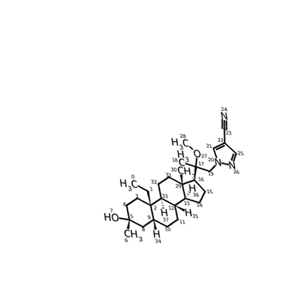 CC[C@]12CC[C@@](C)(O)C[C@H]1CC[C@H]1[C@@H]3CC[C@H](C(C)(Cn4cc(C#N)cn4)OC)[C@@]3(C)CC[C@@H]12